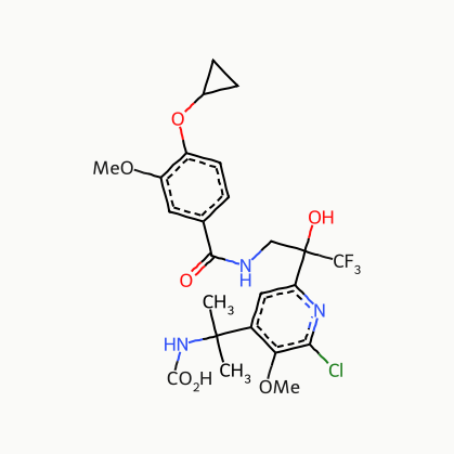 COc1cc(C(=O)NCC(O)(c2cc(C(C)(C)NC(=O)O)c(OC)c(Cl)n2)C(F)(F)F)ccc1OC1CC1